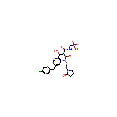 O=C(NCP(=O)(O)O)c1c(O)c2ncc(Cc3ccc(F)cc3)cc2n(CCN2CCCC2=O)c1=O